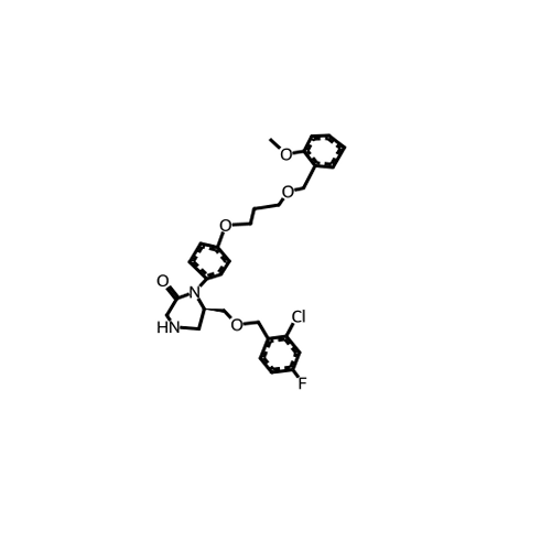 COc1ccccc1COCCCOc1ccc(N2C(=O)CNC[C@@H]2COCc2ccc(F)cc2Cl)cc1